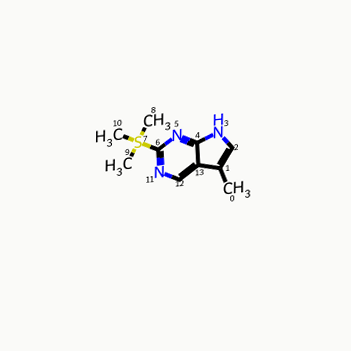 Cc1c[nH]c2nc(S(C)(C)C)ncc12